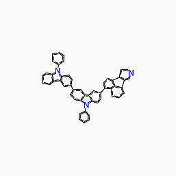 c1ccc(-n2c3ccccc3c3cc(-c4ccc5c(c4)c4cc(-c6ccc7c8c(cccc68)-c6cnccc6-7)ccc4n5-c4ccccc4)ccc32)cc1